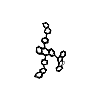 c1ccc2cc(-c3ccc(-c4c5ccccc5c(-c5ccc(-c6ccc7ccccc7c6)cc5)c5cc(-c6cc7c8ccccc8oc7c7ccccc67)ccc45)cc3)ccc2c1